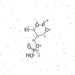 CCC1OP(C)OCC1COP(C)(=O)O